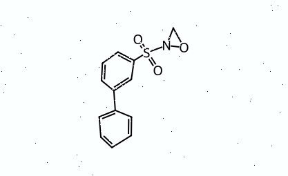 O=S(=O)(c1cccc(-c2ccccc2)c1)N1CO1